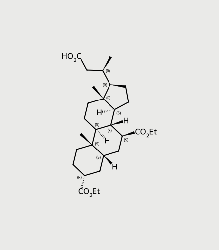 CCOC(=O)[C@@H]1CC[C@@]2(C)[C@@H](C1)C[C@H](C(=O)OCC)[C@@H]1[C@@H]2CC[C@]2(C)[C@@H]([C@H](C)CC(=O)O)CC[C@@H]12